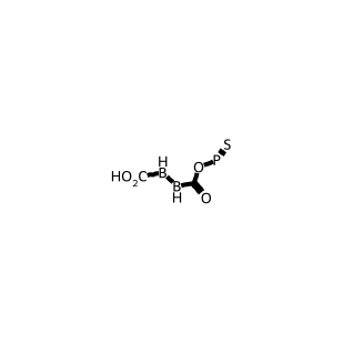 O=C(O)BBC(=O)OP=S